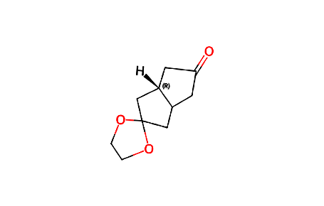 O=C1CC2CC3(C[C@@H]2C1)OCCO3